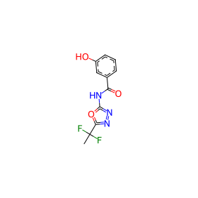 CC(F)(F)c1nnc(NC(=O)c2cccc(O)c2)o1